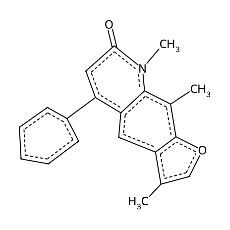 Cc1coc2c(C)c3c(cc12)c(-c1ccccc1)cc(=O)n3C